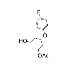 CC(=O)OCCC(CCO)Oc1ccc(F)cc1